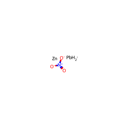 O=[N+]([O-])[O-].[PbH2].[Zn]